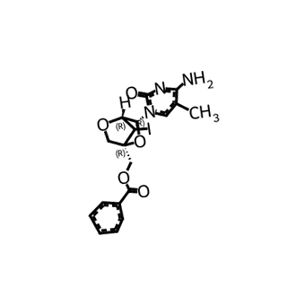 Cc1cn([C@@H]2O[C@@]3(COC(=O)c4ccccc4)CO[C@H]2C3I)c(=O)nc1N